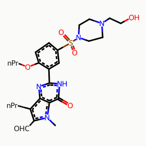 CCCOc1ccc(S(=O)(=O)N2CCN(CCO)CC2)cc1-c1nc2c(CCC)c(C=O)n(C)c2c(=O)[nH]1